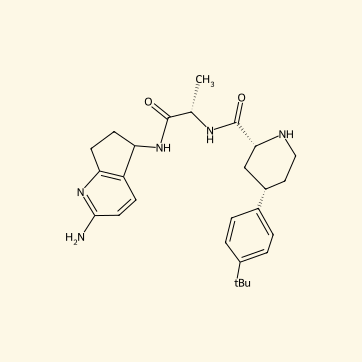 C[C@H](NC(=O)[C@H]1C[C@@H](c2ccc(C(C)(C)C)cc2)CCN1)C(=O)NC1CCc2nc(N)ccc21